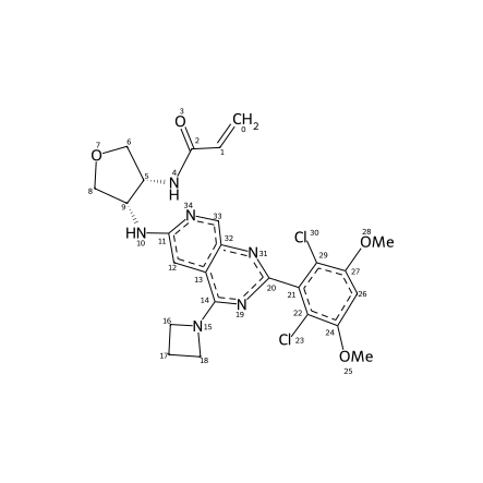 C=CC(=O)N[C@H]1COC[C@H]1Nc1cc2c(N3CCC3)nc(-c3c(Cl)c(OC)cc(OC)c3Cl)nc2cn1